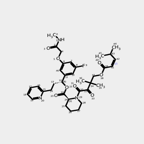 CNC(=O)COc1cc(F)cc([C@@H](CCc2ccccn2)OC(=O)[C@@H]2CCCCN2C(=O)C(=O)C(C)(C)COC(=O)/C=C\C(C)C)c1